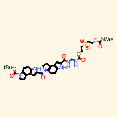 CNC(=O)OCCS(=O)(=O)CCOC(=O)NCNC(=O)c1cc2c3c(ccc2[nH]1)N(C(=O)c1cc2c4c(ccc2[nH]1)N(C(=O)OC(C)(C)C)CC4)CC3